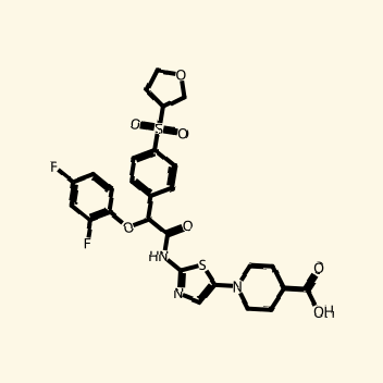 O=C(O)C1CCN(c2cnc(NC(=O)C(Oc3ccc(F)cc3F)c3ccc(S(=O)(=O)C4CCOC4)cc3)s2)CC1